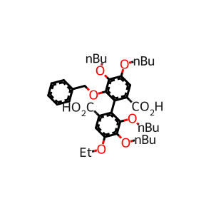 CCCCOc1cc(C(=O)O)c(-c2c(C(=O)O)cc(OCC)c(OCCCC)c2OCCCC)c(OCc2ccccc2)c1OCCCC